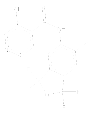 C=C(Nc1cc2c(cc1C)C(F)(F)OC2(F)F)c1ccncc1Cl